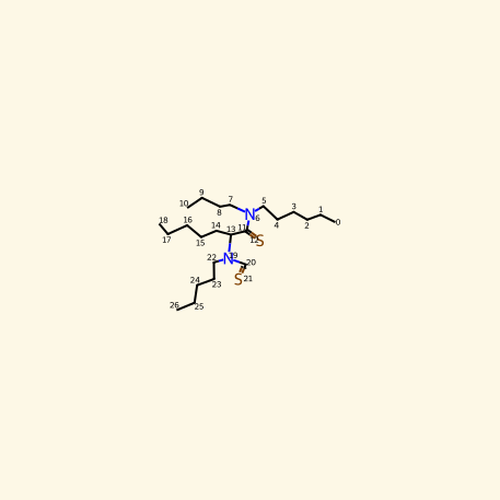 CCCCCCN(CCCC)C(=S)C(CCCCC)N([C]=S)CCCCC